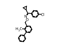 Cc1c(CON=C(c2ccc(Cl)cc2)C2CC2)cccc1-c1ccccc1